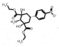 CCOC(=O)[C@]1(O)C[C@H](c2ccc([N+](=O)[O-])cc2)C[C@](O)(C(=O)OCC)[C@H]1N